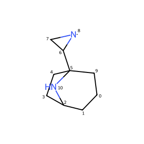 C1CC2CCC(C3C[N]3)(C1)N2